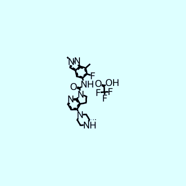 Cc1c(F)c(NC(=O)N2CCc3c(N4CCN[C@@H](C)C4)ccnc32)cc2cn(C)nc12.O=C(O)C(F)(F)F